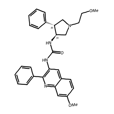 COCCN1C[C@@H](NC(=O)Nc2cc3ccc(OC)cc3nc2-c2ccccc2)[C@H](c2ccccc2)C1